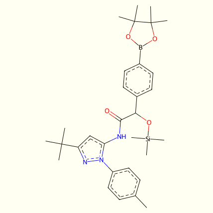 Cc1ccc(-n2nc(C(C)(C)C)cc2NC(=O)C(O[Si](C)(C)C)c2ccc(B3OC(C)(C)C(C)(C)O3)cc2)cc1